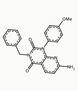 COc1ccc(-n2c(=O)n(Cc3ccccc3)c(=O)c3ccc(N)nc32)cc1